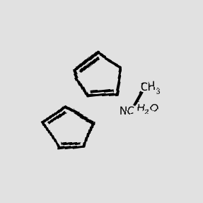 C1=CCC=C1.C1=CCC=C1.CC#N.O